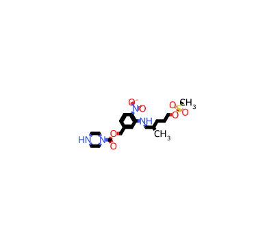 CC(CCCOS(C)(=O)=O)CNc1cc(COC(=O)N2CCNCC2)ccc1[N+](=O)[O-]